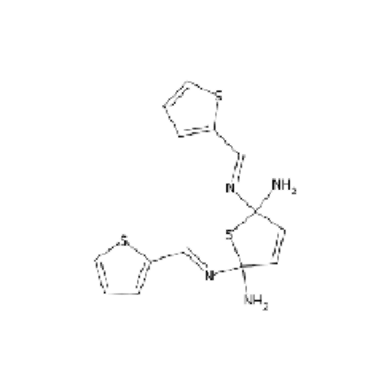 NC1(N=Cc2cccs2)C=CC(N)(N=Cc2cccs2)S1